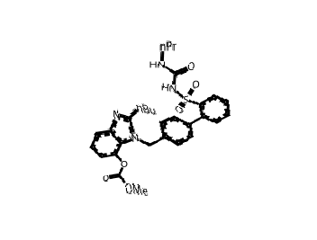 CCCCc1nc2cccc(OC(=O)OC)c2n1Cc1ccc(-c2ccccc2S(=O)(=O)NC(=O)NCCC)cc1